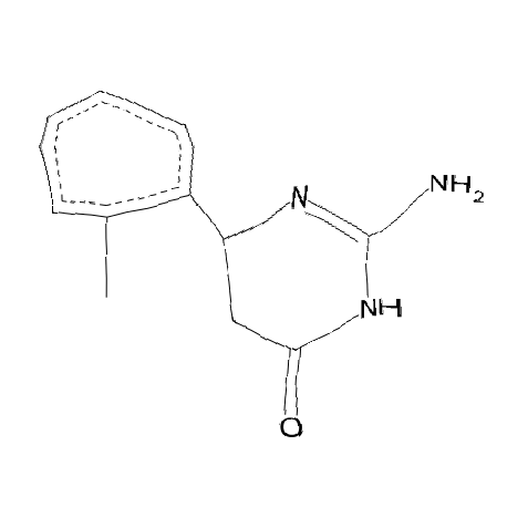 Cc1ccccc1C1CC(=O)NC(N)=N1